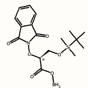 BOC(=O)[C@H](CO[Si](C)(C)C(C)(C)C)ON1C(=O)c2ccccc2C1=O